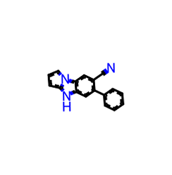 N#Cc1cc2c(cc1-c1ccccc1)[nH]c1cccn12